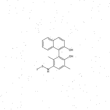 Cc1cc(NSI)c(C)c(-c2c(O)ccc3ccccc23)c1O